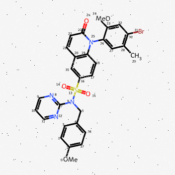 COc1ccc(CN(c2ncccn2)S(=O)(=O)c2ccc3c(ccc(=O)n3-c3cc(C)c(Br)cc3OC)c2)cc1